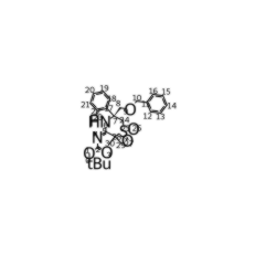 CC(C)(C)OC(=O)/N=C1/N[C@](COCc2ccccc2)(c2ccccc2F)CS(=O)(=O)C1(C)C